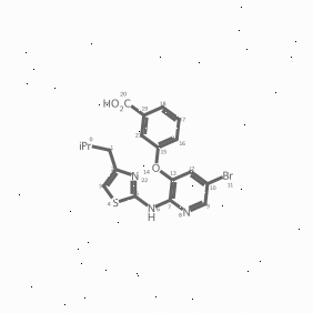 CC(C)Cc1csc(Nc2ncc(Br)cc2Oc2cccc(C(=O)O)c2)n1